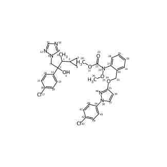 CC(C1CC1)C(O)(Cn1cncn1)c1ccc(Cl)cc1.COC(=O)N(OC)c1ccccc1COc1ccn(-c2ccc(Cl)cc2)n1